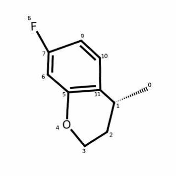 C[C@@H]1CCOc2cc(F)ccc21